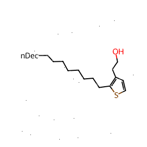 CCCCCCCCCCCCCCCCCCc1sccc1CCO